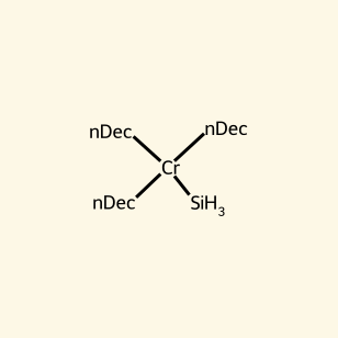 CCCCCCCCC[CH2][Cr]([SiH3])([CH2]CCCCCCCCC)[CH2]CCCCCCCCC